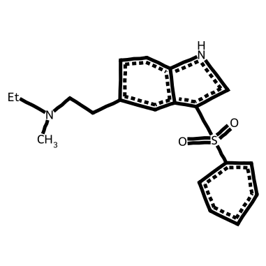 CCN(C)CCc1ccc2[nH]cc(S(=O)(=O)c3ccccc3)c2c1